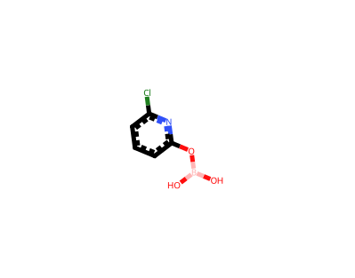 OB(O)Oc1cccc(Cl)n1